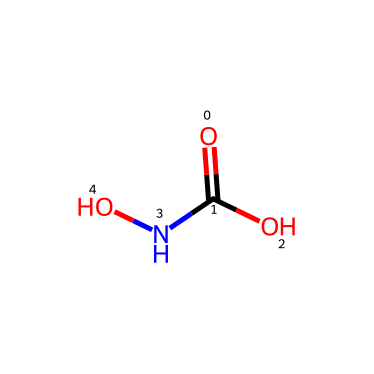 O=C(O)NO